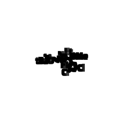 CCc1nn(CCO[Si](C)(C)C(C)(C)C)c(CC)c1C(OC)c1cc(Cl)cc(Cl)c1